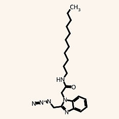 CCCCCCCCCCCNC(=O)Cn1c(CN=[N+]=[N-])nc2ccccc21